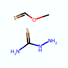 COC=S.NNC(N)=S